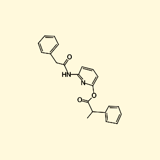 CC(C(=O)Oc1cccc(NC(=O)Cc2ccccc2)n1)c1ccccc1